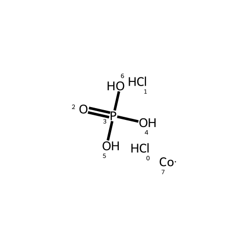 Cl.Cl.O=P(O)(O)O.[Co]